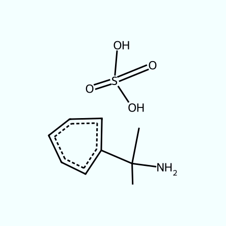 CC(C)(N)c1ccccc1.O=S(=O)(O)O